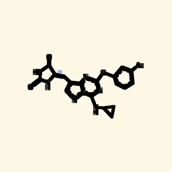 CC(=O)c1cccc(Oc2nc(NC3CC3)n3ncc(/C=C4\NC(=O)NC4=O)c3n2)c1